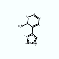 NC1OC=CC=C1c1c[nH]nn1